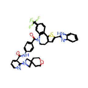 O=C(Nc1ccc(C(=O)N2CCc3cc(-c4nc5ccccc5[nH]4)sc3-c3ccc(C(F)(F)F)cc32)cc1)c1cccnc1N1CC2(CCOCC2)C1